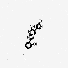 CCn1cc(-c2cn3cc(-c4ccccc4O)nc3nc2N)cn1